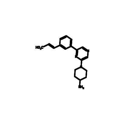 NC1CCN(c2cncc(-c3cccc(C=CC(=O)O)c3)n2)CC1